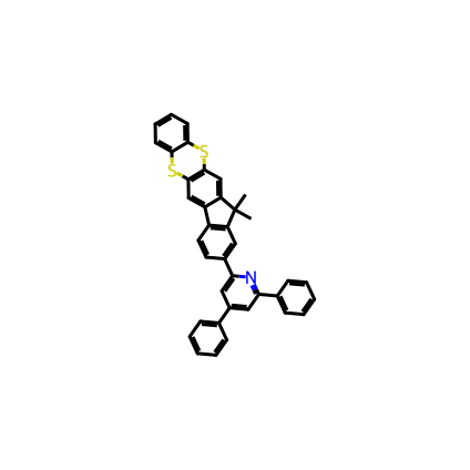 CC1(C)c2cc(-c3cc(-c4ccccc4)cc(-c4ccccc4)n3)ccc2-c2cc3c(cc21)Sc1ccccc1S3